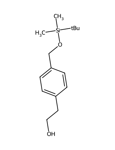 CC(C)(C)[Si](C)(C)OCc1ccc(CCO)cc1